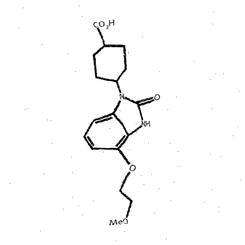 COCCOc1cccc2c1[nH]c(=O)n2C1CCC(C(=O)O)CC1